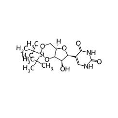 CC(C)(C)[Si]1(C(C)(C)C)OC[C@H]2O[C@@H](c3c[nH]c(=O)[nH]c3=O)[C@@H](O)C2O1